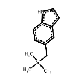 [CH3][Sn]([CH3])([CH3])[CH2]c1ccc2[nH]ccc2c1